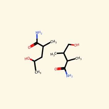 CC(CO)C(C)C(N)=O.CC(O)CC(C)C(N)=O